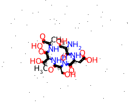 C[C@H](NC(=O)[C@@H](NC(=O)[C@H](CO)NC(=O)[C@H](CC(=O)O)NC(=O)[C@@H](N)CO)[C@@H](C)O)C(=O)O